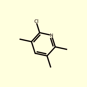 Cc1cc(C)c(Cl)nc1C